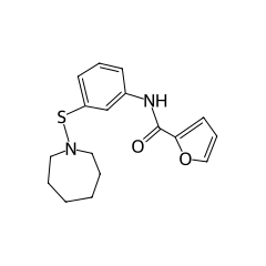 O=C(Nc1cccc(SN2CCCCCC2)c1)c1ccco1